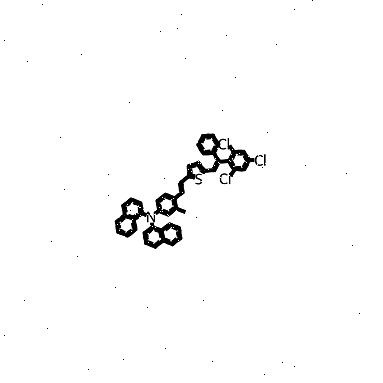 Cc1cc(N(c2cccc3ccccc23)c2cccc3ccccc23)ccc1C=Cc1ccc(C=C(c2ccccc2)c2c(Cl)cc(Cl)cc2Cl)s1